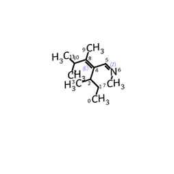 CCC(C)C(/C=N\C)=C(/C)C(C)C